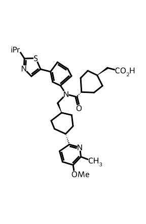 COc1ccc([C@H]2CC[C@H](CN(c3cccc(-c4cnc(C(C)C)s4)c3)C(=O)[C@H]3CC[C@H](CC(=O)O)CC3)CC2)nc1C